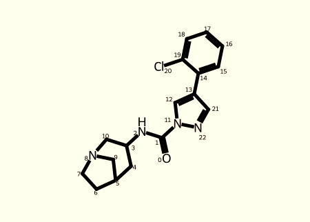 O=C(NC1CC2CCN(C2)C1)n1cc(-c2ccccc2Cl)cn1